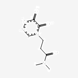 CN(C)C(=O)CCn1[c]n[nH]c(=O)c1=O